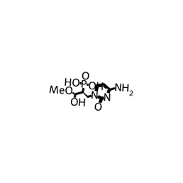 CO[C@H](O)[C@H](Cn1ccc(N)nc1=O)P(=O)(O)O